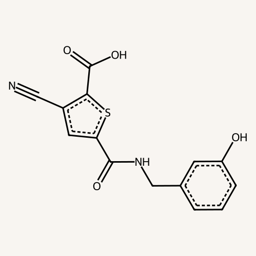 N#Cc1cc(C(=O)NCc2cccc(O)c2)sc1C(=O)O